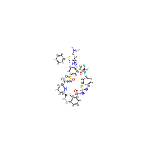 CN(C)CC[C@H](CSc1ccccc1)Nc1ccc(S(=O)(=O)NC(=O)c2cccc(N3CCc4cccc(C(=O)Nc5nc6ccccc6s5)c4C3)n2)cc1S(=O)(=O)C(F)(F)F